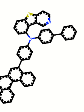 c1ccc(-c2ccc(N(c3ccc(-c4cc5ccc6ccccc6c5c5ccccc45)cc3)c3cccc4sc5ccncc5c34)cc2)cc1